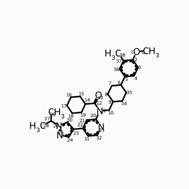 COc1ccc(C2CCC(CN(C(=O)C3CCCCC3)c3cc(-c4cnn(C(C)C)c4)ccn3)CC2)cc1C